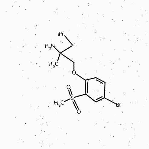 CC(C)CC(C)(N)COc1ccc(Br)cc1S(C)(=O)=O